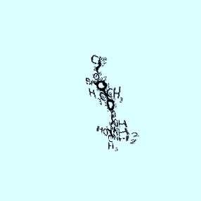 C/C(N)=C(\CO)N(N)C[C@@H](O)COc1ccc(C(C)(C)c2ccc(OCCCCl)c(Br)c2)cc1